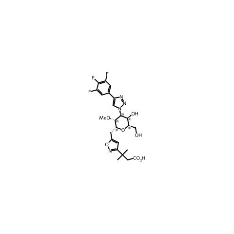 CO[C@@H]1[C@@H](n2cc(-c3cc(F)c(F)c(F)c3)nn2)[C@@H](O)[C@@H](CO)O[C@@H]1Cc1cc(C(C)(C)CC(=O)O)no1